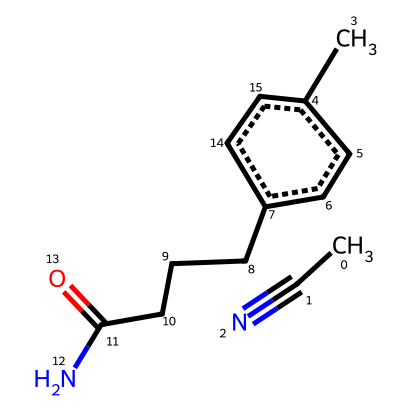 CC#N.Cc1ccc(CCCC(N)=O)cc1